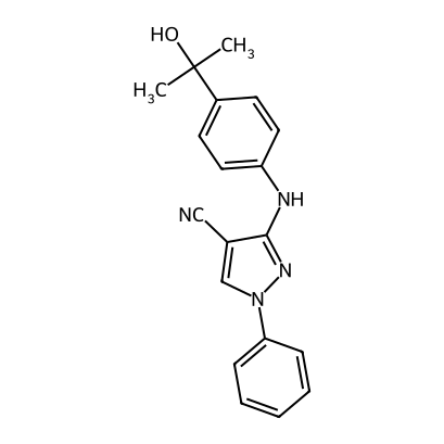 CC(C)(O)c1ccc(Nc2nn(-c3ccccc3)cc2C#N)cc1